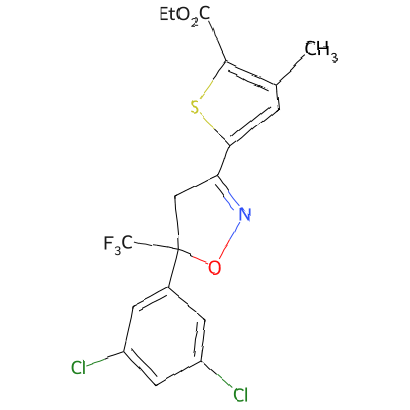 CCOC(=O)c1sc(C2=NOC(c3cc(Cl)cc(Cl)c3)(C(F)(F)F)C2)cc1C